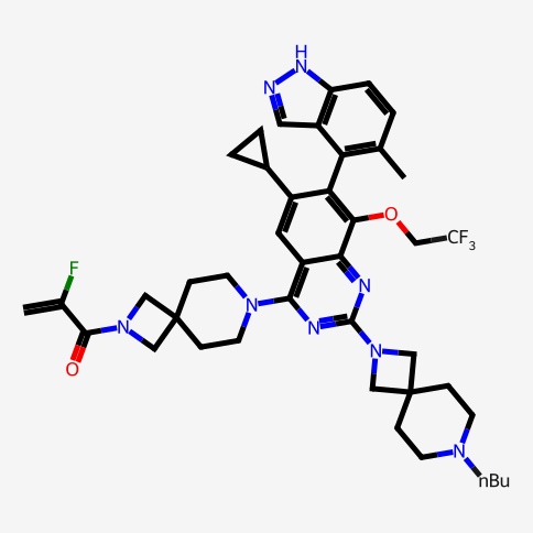 C=C(F)C(=O)N1CC2(CCN(c3nc(N4CC5(CCN(CCCC)CC5)C4)nc4c(OCC(F)(F)F)c(-c5c(C)ccc6[nH]ncc56)c(C5CC5)cc34)CC2)C1